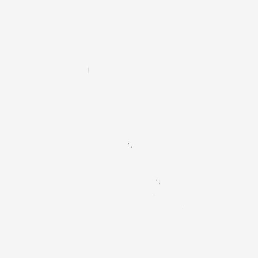 CN1C2CCC1CC(c1ccc(-c3cccc(Cl)c3)cn1)C2